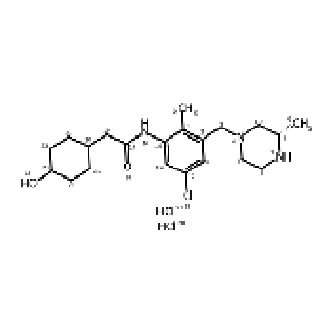 Cc1c(CN2CCN[C@@H](C)C2)cc(Cl)cc1NC(=O)CC1CCC(O)CC1.Cl.Cl